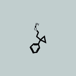 CC(C)OCCC1(c2ccccc2)CC1